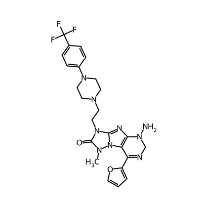 Cn1c(=O)n(CCN2CCN(c3ccc(C(F)(F)F)cc3)CC2)c2nc3c(n21)C(c1ccco1)=NCN3N